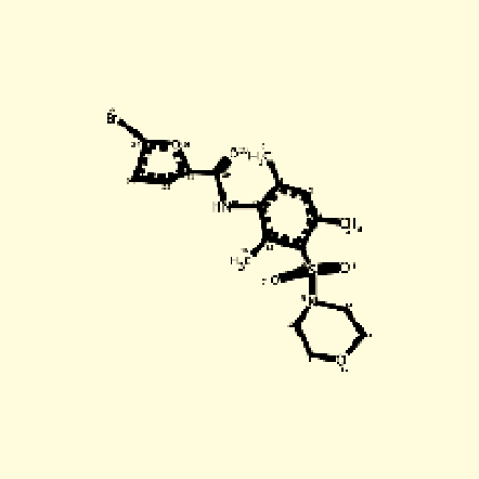 Cc1cc(C)c(S(=O)(=O)N2CCOCC2)c(C)c1NC(=O)c1ccc(Br)o1